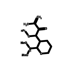 C=C(C)C(=O)C(OCCC)C1CCCOC1[SiH](OC)OC